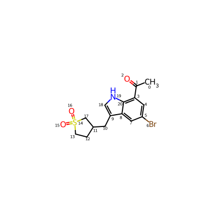 CC(=O)c1cc(Br)cc2c(CC3CCS(=O)(=O)C3)c[nH]c12